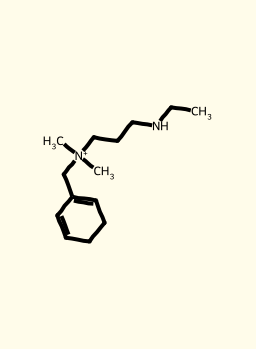 CCNCCC[N+](C)(C)CC1=CCCC=C1